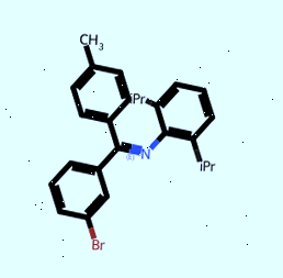 Cc1ccc(/C(=N\c2c(C(C)C)cccc2C(C)C)c2cccc(Br)c2)cc1